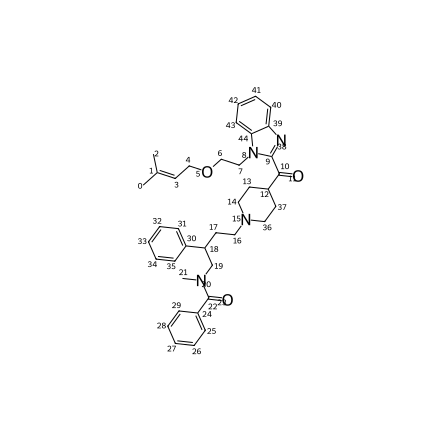 CC(C)=CCOCCn1c(C(=O)C2CCN(CCC(CN(C)C(=O)c3ccccc3)c3ccccc3)CC2)nc2ccccc21